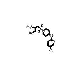 CC(=O)CC(C)CS(=O)(=O)N1CCC(Oc2ccc(Cl)cn2)CC1